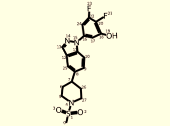 CS(=O)(=O)N1CCC(c2ccc3c(cnn3-c3cc(O)c(F)c(F)c3)c2)CC1